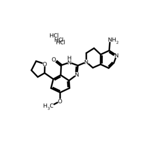 COc1cc(C2CCCO2)c2c(=O)[nH]c(N3CCc4c(ccnc4N)C3)nc2c1.Cl.Cl.Cl